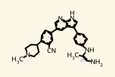 C/C(=C/N)Nc1ccc(-c2c[nH]c3ncc(-c4ccc(C5CCN(C)CC5)c(C#N)c4)cc23)cc1